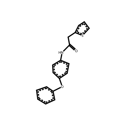 O=C(Cc1cccs1)Nc1ccc(Oc2ccccc2)cc1